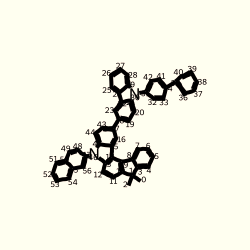 CC1(C)c2ccccc2-c2c1ccc1c2c2cc(-c3ccc4c(c3)c3ccccc3n4-c3ccc(-c4ccccc4)cc3)ccc2n1-c1ccc2ccccc2c1